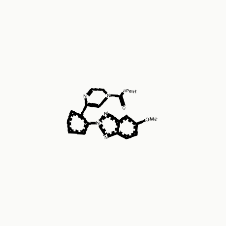 CCCCCC(=O)N1C=C(c2ccccc2-n2nc3ccc(OC)cc3n2)N=CC1